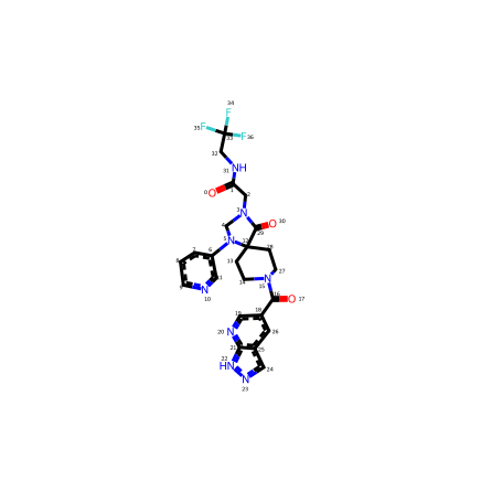 O=C(CN1CN(c2cccnc2)C2(CCN(C(=O)c3cnc4[nH]ncc4c3)CC2)C1=O)NCC(F)(F)F